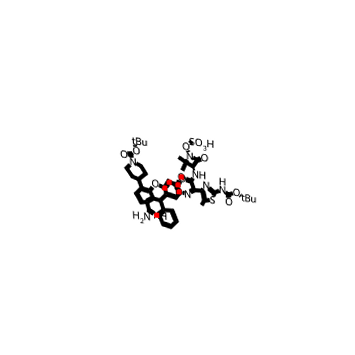 Cc1sc(NC(=O)OC(C)(C)C)nc1/C(=N/OC(=O)CCOc1c(C2CCN(C(=O)OC(C)(C)C)CC2)ccc(C(=N)N)c1C(c1ccccc1)c1ccccc1)C(=O)N[C@@H]1C(=O)N(OS(=O)(=O)O)C1(C)C